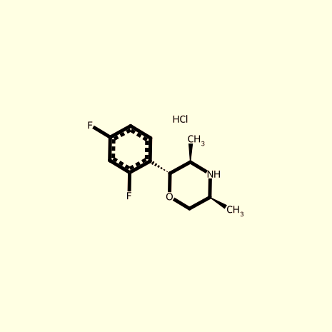 C[C@H]1CO[C@H](c2ccc(F)cc2F)[C@@H](C)N1.Cl